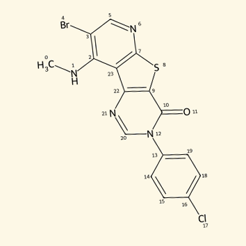 CNc1c(Br)cnc2sc3c(=O)n(-c4ccc(Cl)cc4)cnc3c12